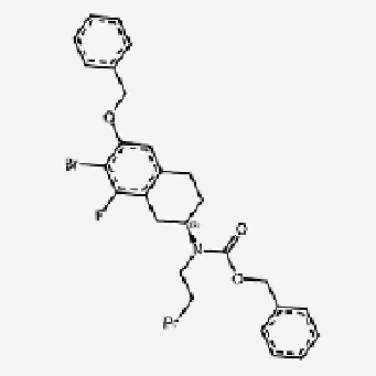 CC(C)CCN(C(=O)OCc1ccccc1)[C@@H]1CCc2cc(OCc3ccccc3)c(Br)c(F)c2C1